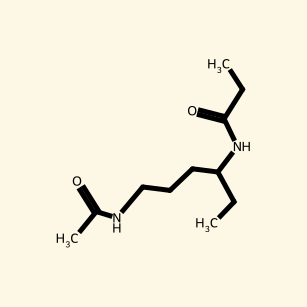 CCC(=O)NC(CC)CCCNC(C)=O